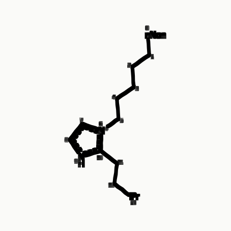 CCCCCCCCCCCCCC[n+]1cc[nH]c1CCC(C)C